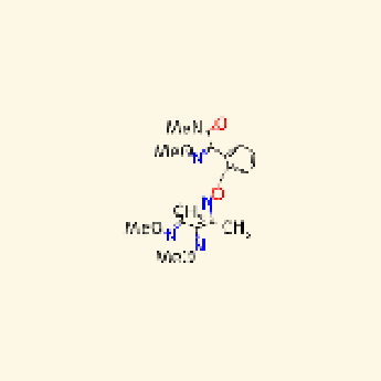 CNC(=O)C(=NOC)c1ccccc1CO/N=C(\C)C(=NOC)/C(C)=N/OC